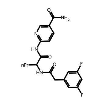 CCCC(NC(=O)Cc1cc(F)cc(F)c1)C(=O)Nc1ccc(C(N)=O)cn1